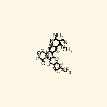 Cn1ncc2c(N)nc3ccc(C(=O)N(Cc4ccc(C(F)(F)F)cn4)N4CCOCC4=O)cc3c21